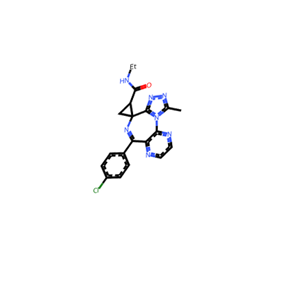 CCNC(=O)C1CC12N=C(c1ccc(Cl)cc1)c1nccnc1-n1c(C)nnc12